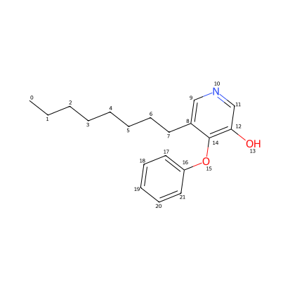 CCCCCCCCc1cncc(O)c1Oc1ccccc1